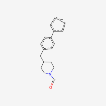 O=[C]N1CCC(Cc2ccc(-c3ccccc3)cc2)CC1